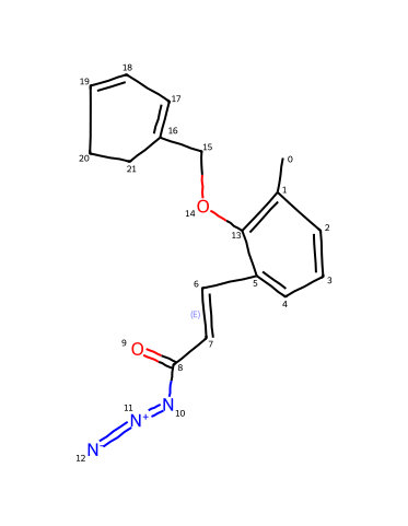 Cc1cccc(/C=C/C(=O)N=[N+]=[N-])c1OCC1=CC=CCC1